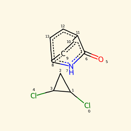 ClC1CC1Cl.O=c1[nH]c2ccc1cc2